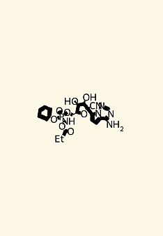 CCC(=O)ON[P@@](=O)(OC[C@H]1O[C@@](C#N)(c2ccc3c(N)ncnn23)[C@H](O)[C@@H]1O)Oc1ccccc1